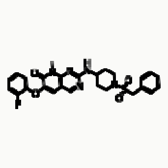 Cn1c(=O)c(Oc2ccccc2F)cc2cnc(NC3CCN(S(=O)(=O)Cc4ccccc4)CC3)nc21